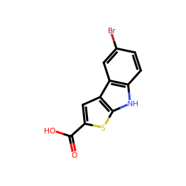 O=C(O)c1cc2c([nH]c3ccc(Br)cc32)s1